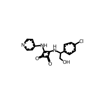 O=c1c(Nc2ccncc2)c(NC(CO)c2ccc(Cl)cc2)c1=O